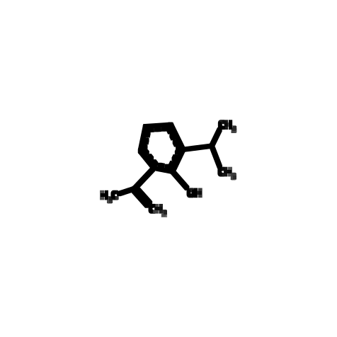 C=C(C)c1cccc(C(C)C)c1O